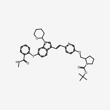 CNC(=O)c1ccccc1Sc1ccc2c(/C=C/c3ccc(OCC4CCCN4C(=O)OC(C)(C)C)cn3)cn(C3CCCCO3)c2c1